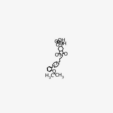 CC(C)Oc1ccccc1N1CCN(CCCN2C(=O)C3CC(F)C(OP(=O)(O)O)CC3C2=O)CC1